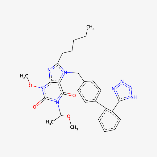 CCCCCc1nc2c(c(=O)n(C(C)OC)c(=O)n2OC)n1Cc1ccc(-c2ccccc2-c2nnn[nH]2)cc1